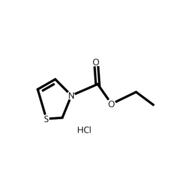 CCOC(=O)N1C=CSC1.Cl